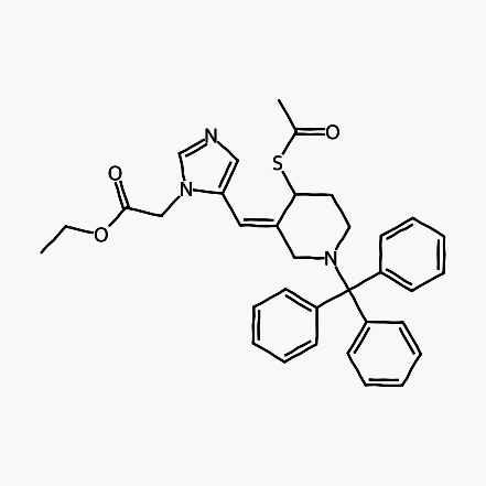 CCOC(=O)Cn1cncc1C=C1CN(C(c2ccccc2)(c2ccccc2)c2ccccc2)CCC1SC(C)=O